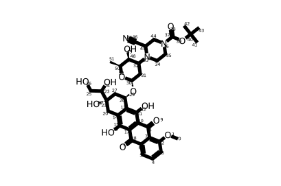 COc1cccc2c1C(=O)c1c(O)c3c(c(O)c1C2=O)C[C@@](O)(C(O)CO)C[C@@H]3O[C@H]1CC(N2CCN(C(=O)OC(C)(C)C)CC2C#N)[C@H](O)[C@H](C)O1